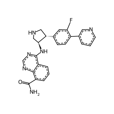 NC(=O)c1cccc2c(N[C@H]3CNC[C@@H]3c3ccc(-c4cccnc4)c(F)c3)ncnc12